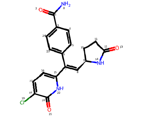 NC(=O)c1ccc(/C(=C\[C@H]2CCC(=O)N2)c2ccc(Cl)c(=O)[nH]2)cc1